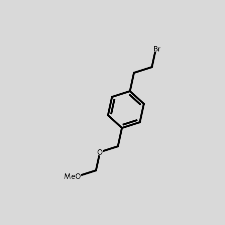 COCOCc1ccc(CCBr)cc1